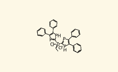 C[CH]=[Zr]([Cl])([Cl])([c]1pc(-c2ccccc2)c(-c2ccccc2)[pH]1)[c]1pc(-c2ccccc2)c(-c2ccccc2)[pH]1